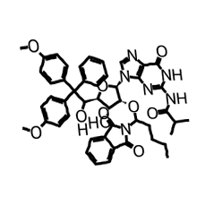 CCCCC(O[C@@H]1[C@H](O)[C@@H](C(O)C(c2ccccc2)(c2ccc(OC)cc2)c2ccc(OC)cc2)O[C@H]1n1cnc2c(=O)[nH]c(NC(=O)C(C)C)nc21)N1C(=O)c2ccccc2C1=O